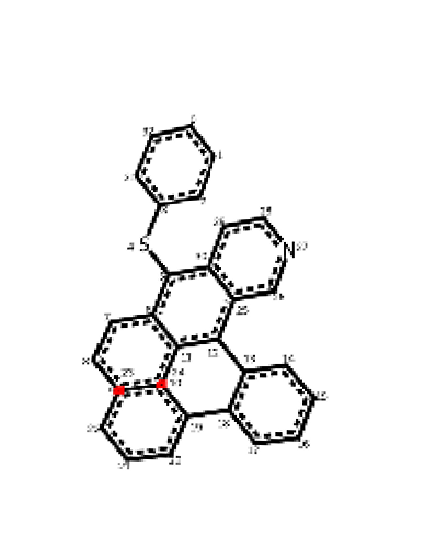 c1ccc(Sc2c3ccccc3c(-c3ccccc3-c3ccccc3)c3cnccc23)cc1